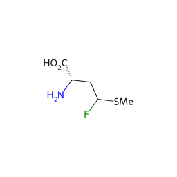 CSC(F)C[C@H](N)C(=O)O